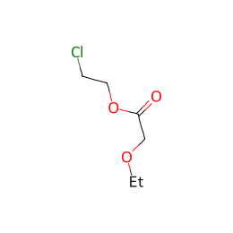 CCOCC(=O)OCCCl